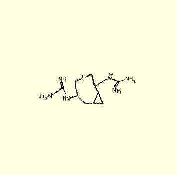 N=C(N)NC1CCCC(NC(=N)N)C2CC2C1